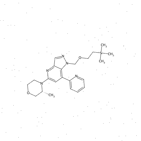 C[C@@H]1COCCN1c1cc(-c2ccccn2)c2c(cnn2COCC[Si](C)(C)C)n1